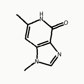 Cc1cc2c(ncn2C)c(=O)[nH]1